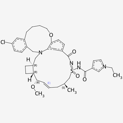 CCn1ccc(C(=O)NS2(=O)=NC(=O)c3ccc4c(c3)N(Cc3ccc(Cl)cc3CCCCO4)C[C@@H]3CC[C@H]3[C@@H](OC)/C=C/C[C@H](C)C2)c1